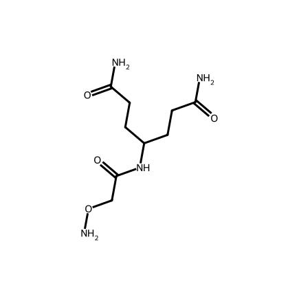 NOCC(=O)NC(CCC(N)=O)CCC(N)=O